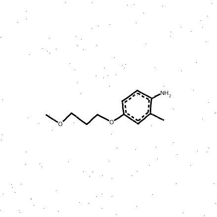 COCCCOc1ccc(N)c(C)c1